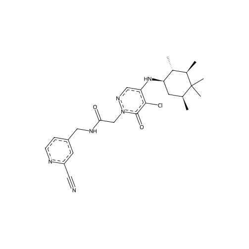 C[C@@H]1[C@@H](C)C(C)(C)[C@@H](C)C[C@H]1Nc1cnn(CC(=O)NCc2ccnc(C#N)c2)c(=O)c1Cl